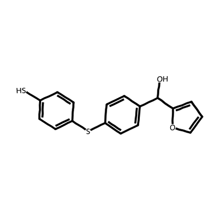 OC(c1ccc(Sc2ccc(S)cc2)cc1)c1ccco1